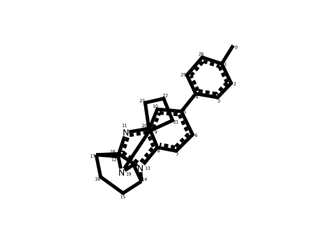 Cc1ccc(-c2ccc3c(c2)nc2n3C3CCC2CN(C2CCC2)C3)cc1